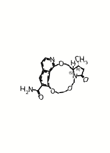 C[C@@H]1CC(=O)N2COCCOc3cc4c(nccc4cc3C(N)=O)OC[C@H]12